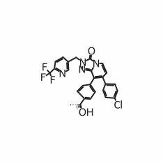 C[C@@H](O)c1ccc(-c2c(-c3ccc(Cl)cc3)ccn3c(=O)n(Cc4ccc(C(F)(F)F)nc4)nc23)cc1